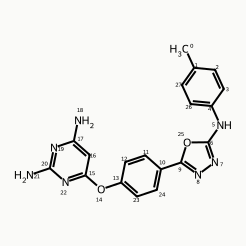 Cc1ccc(Nc2nnc(-c3ccc(Oc4cc(N)nc(N)n4)cc3)o2)cc1